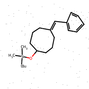 CC(C)(C)[Si](C)(C)OC1CCCC(=Cc2ccccc2)CCC1